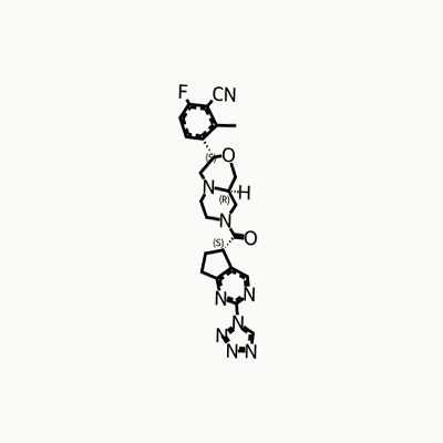 Cc1c([C@H]2CN3CCN(C(=O)[C@H]4CCc5nc(-n6cnnn6)ncc54)C[C@@H]3CO2)ccc(F)c1C#N